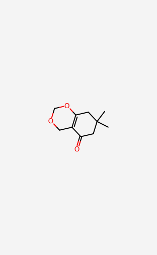 CC1(C)CC(=O)C2=C(C1)OCOC2